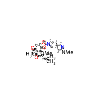 CNc1ccc(CC2CN(C(=O)O[C@@H]3CC[C@]4(CO4)[C@@H]([C@@]4(C)O[C@@H]4CC=C(C)C)[C@@H]3OC)C2)cn1